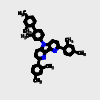 Cc1ccc(-c2ccc3c(n2)c2nc(-c4ccc(C)cc4C)ccc2n3-c2ccc(-c3ccc(C)cc3C)c(C)c2)c(C)c1